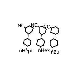 CCCCCCC[C@H]1CC[C@H](C2CCCC(C#N)C2)CC1.CCCCCC[C@H]1CC[C@H](C2CCCC(C#N)C2)CC1.CCCC[C@H]1CC[C@H](C2CCCC(C#N)C2)CC1